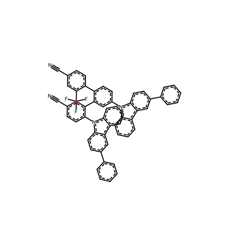 N#Cc1ccc(-n2c3ccccc3c3cc(-c4ccccc4)ccc32)c(-c2cc(-n3c4ccccc4c4cc(-c5ccccc5)ccc43)ccc2-c2ccc(C#N)cc2C(F)(F)F)c1